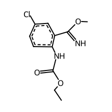 CCOC(=O)Nc1ccc(Cl)cc1C(=N)OC